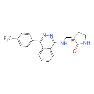 O=C1NCC[C@@H]1CNc1nnc(-c2ccc(C(F)(F)F)cc2)c2ccccc12